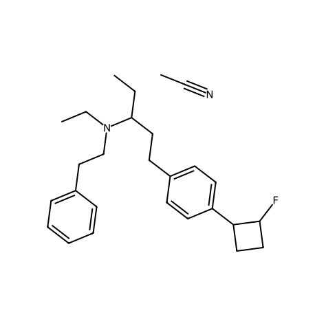 CC#N.CCC(CCc1ccc(C2CCC2F)cc1)N(CC)CCc1ccccc1